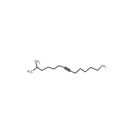 CCCCCCC#CCCCC[C](C)C